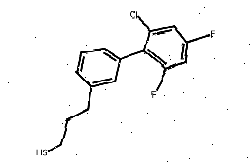 Fc1cc(F)c(-c2cccc(CCCS)c2)c(Cl)c1